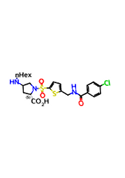 CCCCCCNC1C[C@@H](C(=O)O)N(S(=O)(=O)c2ccc(CNC(=O)c3ccc(Cl)cc3)s2)C1